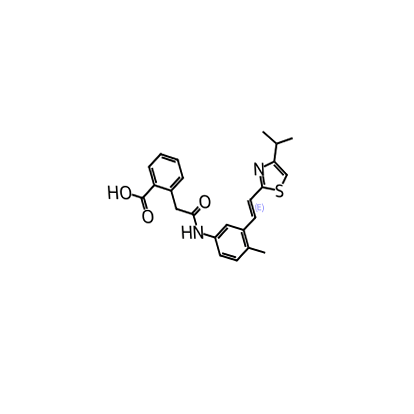 Cc1ccc(NC(=O)Cc2ccccc2C(=O)O)cc1/C=C/c1nc(C(C)C)cs1